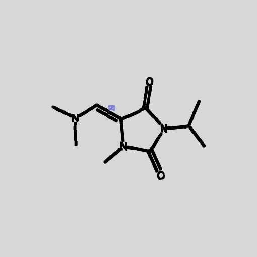 CC(C)N1C(=O)/C(=C/N(C)C)N(C)C1=O